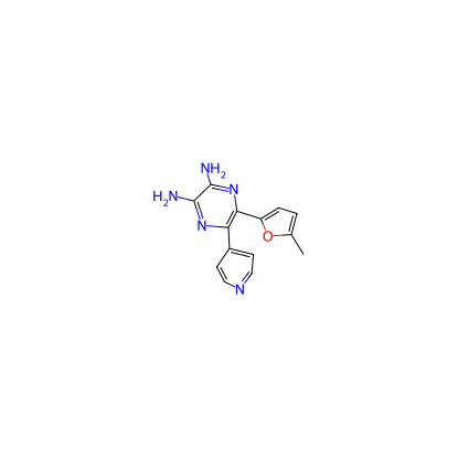 Cc1ccc(-c2nc(N)c(N)nc2-c2ccncc2)o1